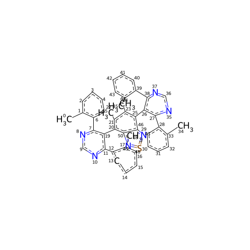 Cc1ccccc1-c1ncnc(-c2ccccc2C)c1-c1c(C)c(C)c(-c2c(-c3ccccc3C)ncnc2-c2ccccc2C)c2nsnc12